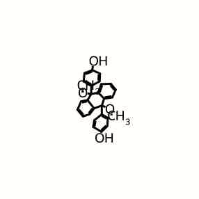 COC1(c2ccc(O)cc2)c2ccccc2C(OC)(c2ccc(O)cc2)c2ccccc21